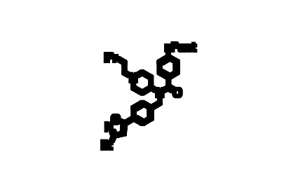 CCCCCc1ccc(C(=O)N(Cc2ccc(-c3cc(CC)no3)cc2)C2CCN(CCC(C)C)CC2)cc1